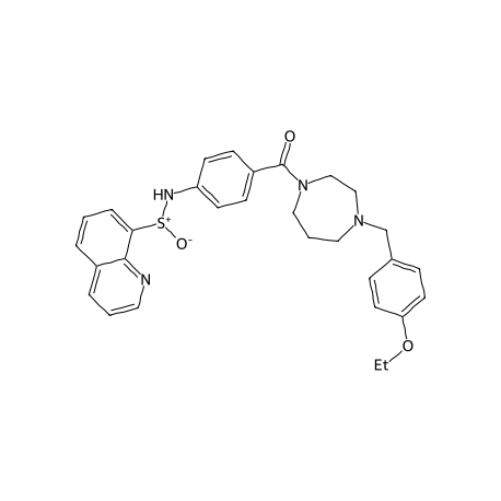 CCOc1ccc(CN2CCCN(C(=O)c3ccc(N[S+]([O-])c4cccc5cccnc45)cc3)CC2)cc1